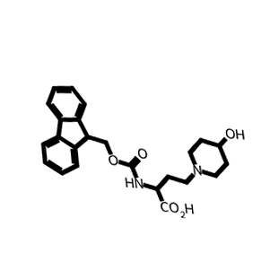 O=C(NC(CCN1CCC(O)CC1)C(=O)O)OCC1c2ccccc2-c2ccccc21